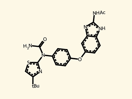 CC(=O)Nc1nc2cc(Oc3ccc(N(C(N)=O)c4nc(C(C)(C)C)cs4)cc3)ccc2[nH]1